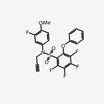 C#CCN(c1ccc(OC)c(F)c1)S(=O)(=O)c1c(F)c(F)c(F)c(F)c1Oc1ccccc1